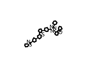 c1ccc(-c2nc(-c3ccc(-c4cccc5c4sc4ccc(-c6ccc(-c7nc8ccccc8s7)cc6)cc45)cc3)nc(-c3cccc4oc5ccccc5c34)n2)cc1